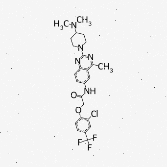 Cc1nc(N2CCC(N(C)C)CC2)nc2ccc(NC(=O)COc3ccc(C(F)(F)F)cc3Cl)cc12